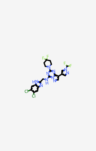 FC(F)n1cc(-c2cnn3c(NCc4nc5cc(Cl)c(Cl)cc5[nH]4)nc(N4CCC(F)(F)CC4)nc23)cn1